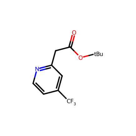 CC(C)(C)OC(=O)Cc1cc(C(F)(F)F)ccn1